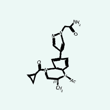 CC(=O)N1c2ccc(-c3cnn(CC(N)=O)c3)cc2N(C(=O)C2CC2)C[C@@H]1C